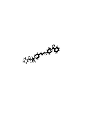 CC(C)(C)OC(=O)N1CCC(CCCOC2CCN(C(=O)C3CCCCC3)CC2)CC1